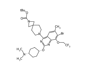 Cc1cc2c(N3CCC4(CC3)CN(C(=O)OC(C)(C)C)C4)nc(O[C@H]3CC[C@@H](N(C)C)CC3)nc2c(OCC(F)(F)F)c1Br